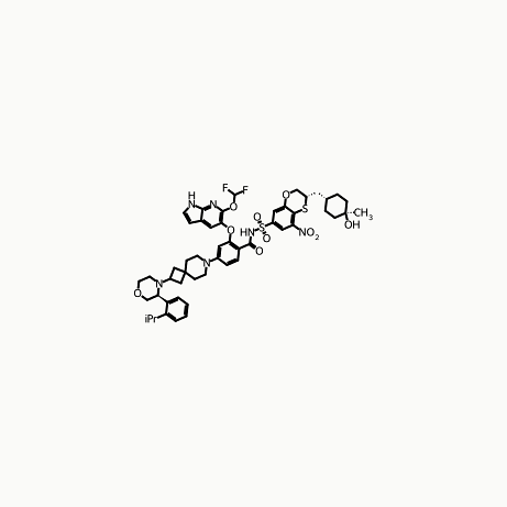 CC(C)c1ccccc1[C@H]1COCCN1C1CC2(CCN(c3ccc(C(=O)NS(=O)(=O)c4cc5c(c([N+](=O)[O-])c4)S[C@@H](C[C@H]4CC[C@](C)(O)CC4)CO5)c(Oc4cc5cc[nH]c5nc4OC(F)F)c3)CC2)C1